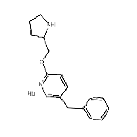 Cl.c1ccc(Cc2ccc(OCC3CCCN3)nc2)cc1